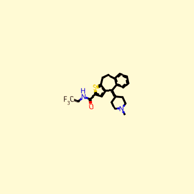 CN1CCC(=C2c3ccccc3CCc3sc(C(=O)NCC(F)(F)F)cc32)CC1